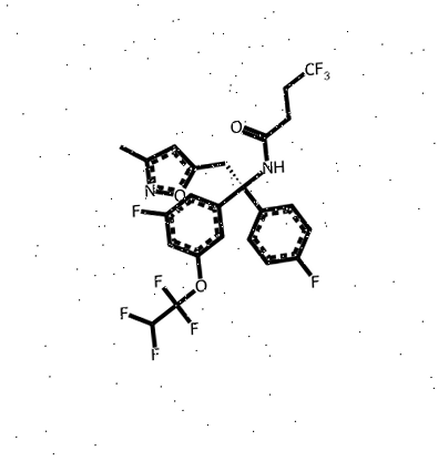 Cc1cc(C[C@](NC(=O)CCC(F)(F)F)(c2ccc(F)cc2)c2cc(F)cc(OC(F)(F)C(F)F)c2)on1